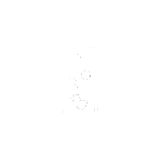 Cc1nc2c3c(nn2c(C)c1Cl)CN(C(=O)c1ccc(F)cc1OC1CCN(CCO)C1)C3